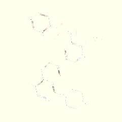 COc1ncc(-c2ccc3c(F)cnc(N4CCNCC4)c3c2)cc1NS(=O)(=O)c1ccc(F)cc1F